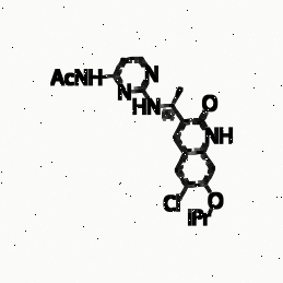 CC(=O)Nc1ccnc(N[C@@H](C)c2cc3cc(Cl)c(OC(C)C)cc3[nH]c2=O)n1